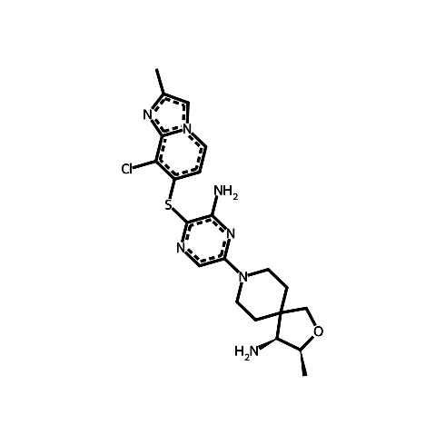 Cc1cn2ccc(Sc3ncc(N4CCC5(CC4)CO[C@@H](C)[C@H]5N)nc3N)c(Cl)c2n1